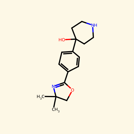 CC1(C)COC(c2ccc(C3(O)CCNCC3)cc2)=N1